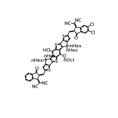 [C-]#[N+]/C(C#N)=C1\C(=C\c2cc3c(s2)-c2sc4c(OCCCCCCCC)c5c6c(sc5c(O)c4c2C3(CCCCCC)CCCCCC)-c2sc(/C=C3\C(=O)c4cc(Cl)c(Cl)cc4\C3=C(\C#N)[N+]#[C-])cc2C6(CCCCCC)CCCCCC)C(=O)c2ccccc21